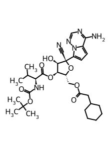 CC(C)[C@H](NC(=O)OC(C)(C)C)C(=O)O[C@H]1[C@@H](O)[C@](C#N)(c2ccc3c(N)ncnn23)O[C@@H]1COC(=O)CC1CCCCC1